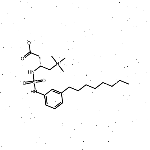 CCCCCCCCc1cccc(NS(=O)(=O)N[C@H](CC(=O)[O-])C[N+](C)(C)C)c1